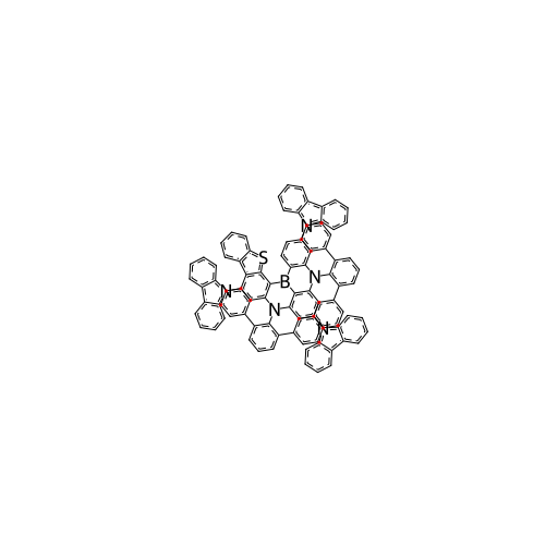 c1ccc(-c2cccc(-c3ccccc3)c2N2c3cc(-n4c5ccccc5c5ccccc54)ccc3B3c4c2cc(-n2c5ccccc5c5ccccc52)cc4N(c2c(-c4ccccc4)cccc2-c2ccccc2)c2cc(-n4c5ccccc5c5ccccc54)c4c(sc5ccccc54)c23)cc1